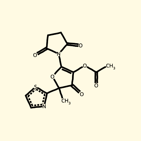 CC(=O)OC1=C(N2C(=O)CCC2=O)OC(C)(c2nccs2)C1=O